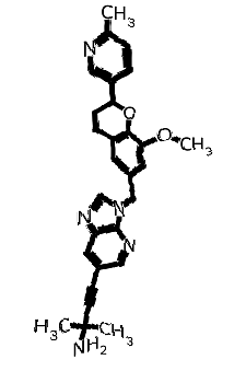 COc1cc(Cn2cnc3cc(C#CC(C)(C)N)cnc32)cc2c1OC(c1ccc(C)nc1)CC2